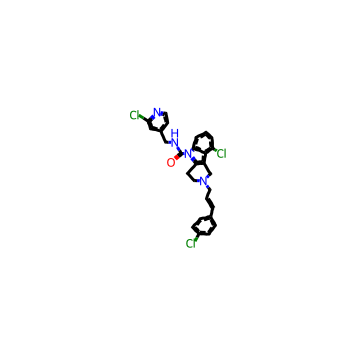 O=C(NCc1ccnc(Cl)c1)n1c2c(c3c(Cl)cccc31)CN(CC=Cc1ccc(Cl)cc1)CC2